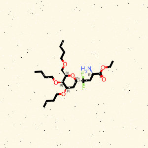 CCCCOC[C@H]1O[C@H](C(F)(F)C[C@H](N)C(=O)OCC)C[C@@H](OCCCC)[C@H]1OCCCC